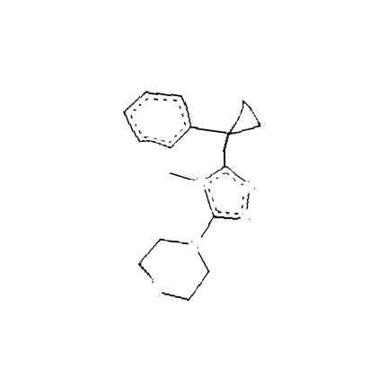 Cn1c(N2CCSCC2)nnc1C1(c2ccccc2)CC1